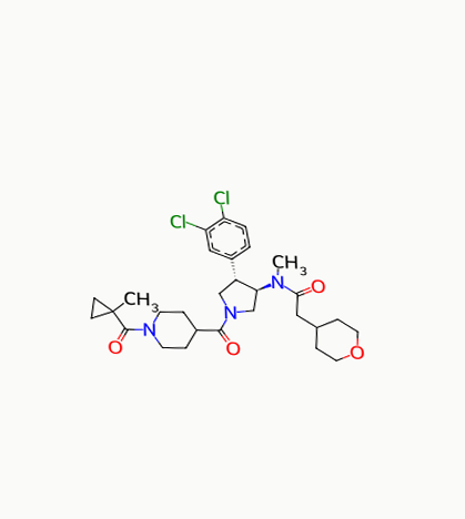 CN(C(=O)CC1CCOCC1)[C@H]1CN(C(=O)C2CCN(C(=O)C3(C)CC3)CC2)C[C@@H]1c1ccc(Cl)c(Cl)c1